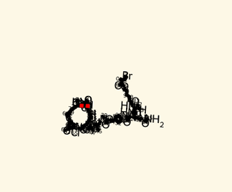 C=C(CBr)C(=O)OCCCCCC(=O)N[C@H](C(=O)N[C@@H](CCCNC(N)=O)C(=O)Nc1ccc(COC(=O)N(C)CCC(=O)N(C)[C@@H](C)C(=O)O[C@H]2CC(=O)N(C)c3cc(cc(OC)c3Cl)C/C(C)=C/C=C/[C@@H](OC)[C@@]3(O)C[C@H](OC(=O)N3)[C@@H](C)[C@@H]3O[C@@]23C)cc1)C(C)C